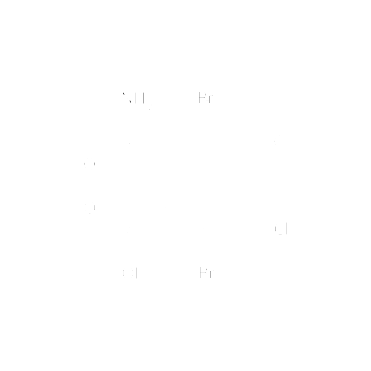 NC(=O)c1c(Br)c(Cl)c(Cl)c(Br)c1C(=O)O